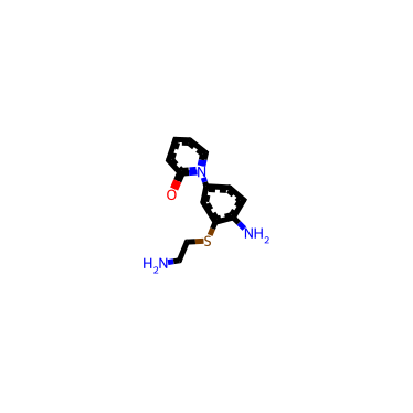 NCCSc1cc(-n2ccccc2=O)ccc1N